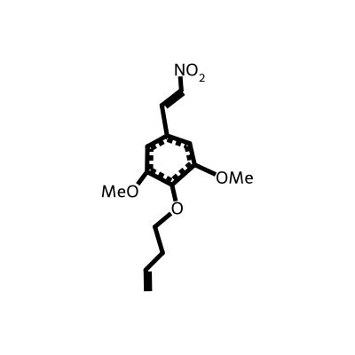 C=CCCOc1c(OC)cc(C=C[N+](=O)[O-])cc1OC